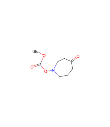 CC(C)(C)OC(=O)ON1CCCC(=O)CC1